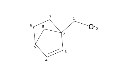 [O]CC12C=CC(CC1)C2